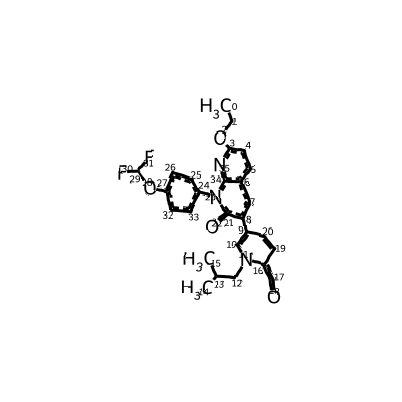 CCOc1ccc2cc(C3=CN(CC(C)C)C(=C=O)C=C3)c(=O)n(-c3ccc(OC(F)F)cc3)c2n1